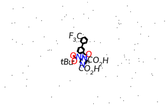 CC(C)(C)OC(=O)Nc1ccc(-c2cccc(C(F)(F)F)c2)cc1C(=O)N1CCN(C(=O)O)C[C@@H]1C(=O)O